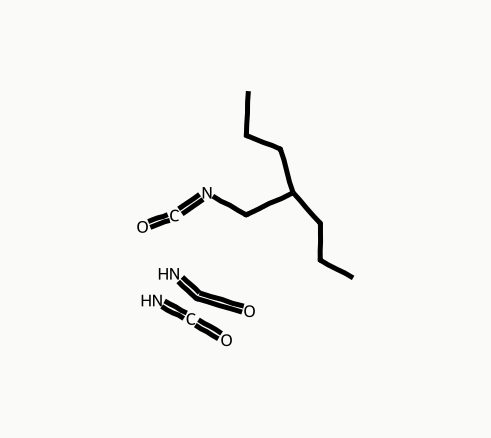 CCCC(CCC)CN=C=O.N=C=O.N=C=O